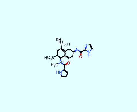 C[N+](C(=O)c1ccc[nH]1)=C1C2=CCC(=NC(=O)c3ncc[nH]3)CC2=C(S(=O)(=O)O)C=C1S(=O)(=O)O.[KH].[KH]